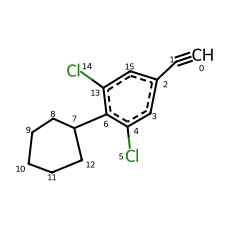 C#Cc1cc(Cl)c(C2CCCCC2)c(Cl)c1